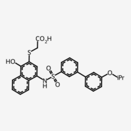 CC(C)Oc1cccc(-c2cccc(S(=O)(=O)Nc3cc(SCC(=O)O)c(O)c4ccccc34)c2)c1